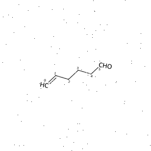 [CH]=CCCCC=O